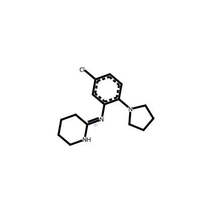 Clc1ccc(N2CCCC2)c(/N=C2\CCCCN2)c1